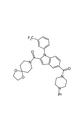 CC(C)N1CCN(C(=O)c2ccc3c(c2)cc(C(=O)N2CCC4(CC2)OCCO4)n3-c2cccc(C(F)(F)F)c2)CC1